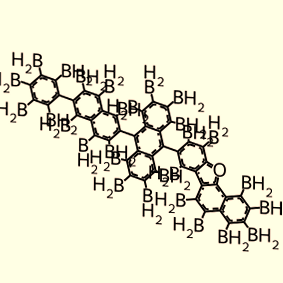 Bc1c(B)c(B)c(-c2c(B)c(B)c3c(B)c(-c4c5c(B)c(B)c(B)c(B)c5c(-c5c(B)c(B)c6oc7c8c(B)c(B)c(B)c(B)c8c(B)c(B)c7c6c5B)c5c(B)c(B)c(B)c(B)c45)c(B)c(B)c3c2B)c(B)c1B